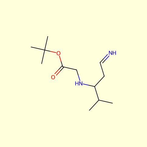 CC(C)C(CC=N)NCC(=O)OC(C)(C)C